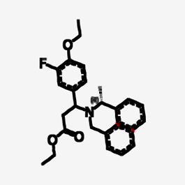 CCOC(=O)CC(c1ccc(OCC)c(F)c1)N(Cc1ccccc1)[C@H](C)c1ccccc1